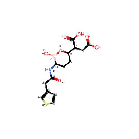 O=C(O)CC(C(=O)O)C1CCC(NC(=O)Cc2ccsc2)B(O)O1